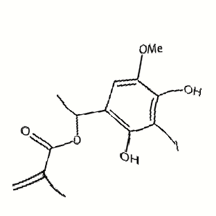 C=C(C)C(=O)OC(C)c1cc(OC)c(O)c(I)c1O